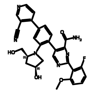 COc1cccc(F)c1-c1ncc(-c2ccc(-c3ccncc3C#N)cc2N2C[C@@H](O)C[C@H]2CO)c(C(N)=O)n1